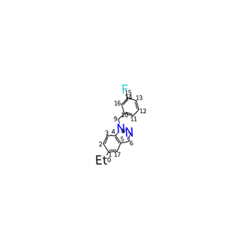 CCc1ccc2c(cnn2Cc2cccc(F)c2)c1